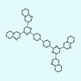 c1ccc2ncc(-c3cc(-c4cnc5ccccc5c4)nc(-c4ccc(-c5ccc(-c6nc(-c7cnc8ccccc8c7)cc(-c7cnc8ccccc8c7)n6)cc5)cc4)n3)cc2c1